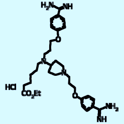 CCOC(=O)CCCCCN(CCCOc1ccc(C(=N)N)cc1)C1CCN(CCCOc2ccc(C(=N)N)cc2)CC1.Cl